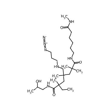 CCC(C)(CC(C)(CNCCCN=[N+]=[N-])CC(C)(C)C(=O)NCCCCCC(=O)NC)C(=O)NCC(C)O